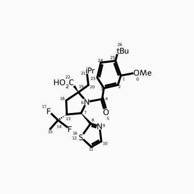 COc1cc(C(=O)N2[C@@H](c3nccs3)[C@H](C(C)(F)F)C[C@@]2(CC(C)C)C(=O)O)ccc1C(C)(C)C